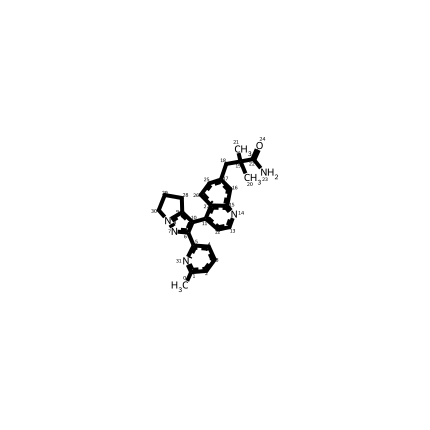 Cc1cccc(-c2nn3c(c2-c2ccnc4cc(CC(C)(C)C(N)=O)ccc24)CCC3)n1